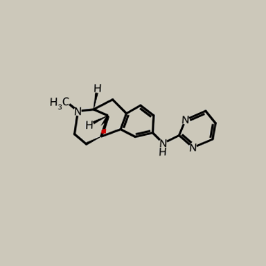 CN1CC[C@]23CCCC[C@H]2[C@H]1Cc1ccc(Nc2ncccn2)cc13